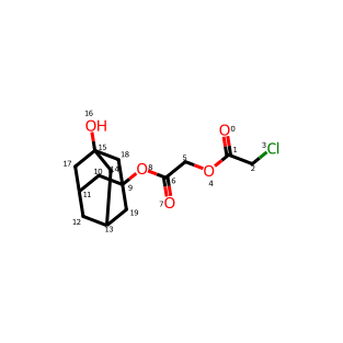 O=C(CCl)OCC(=O)OC12CC3CC(CC(O)(C3)C1)C2